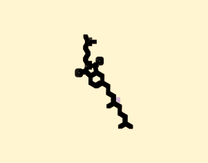 CC(C)=CCC/C(C)=C/CCC1=CCC2C(=O)N(CCCN(C)C)C(=O)C2C1